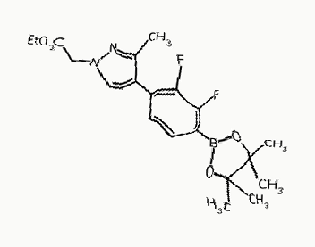 CCOC(=O)Cn1cc(-c2ccc(B3OC(C)(C)C(C)(C)O3)c(F)c2F)c(C)n1